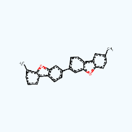 Cc1ccc2oc3cc(-c4ccc5c(c4)oc4c(C)cccc45)ccc3c2c1